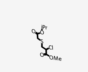 COC(=O)C(Cl)CSCC(=O)OC(C)C